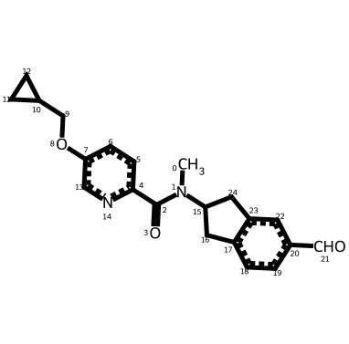 CN(C(=O)c1ccc(OCC2CC2)cn1)C1Cc2ccc(C=O)cc2C1